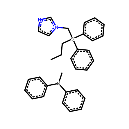 CB(c1ccccc1)c1ccccc1.CCC[Si](Cn1ccnc1)(c1ccccc1)c1ccccc1